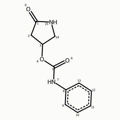 O=C1CC(OC(=O)Nc2ccccc2)CN1